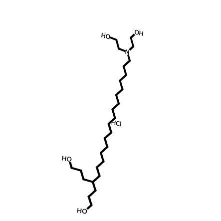 Cl.OCCCC(CCCO)CCCCCCCCCCCCCCCCCN(CCO)CCO